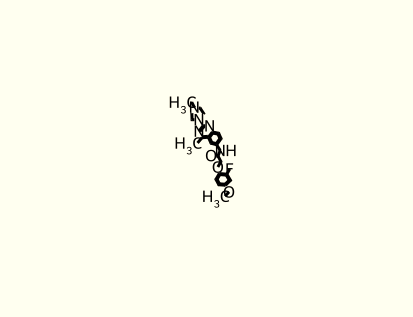 COc1ccc(OCC(=O)Nc2ccc3nc(N4CCN(C)CC4)nc(C)c3c2)c(F)c1